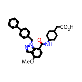 COc1ccc(C(=O)NC2CCC(CC(=O)O)CC2)c2c1cnn2Cc1ccc(-c2ccccc2)cc1